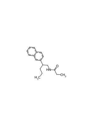 CCCC(CNC(=O)CC)c1ccc2ccccc2c1